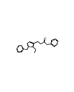 CCC1C(CCC(=O)Cc2ccccc2)=CC=C1Cc1ccccc1